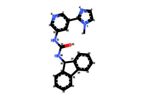 Cn1ccnc1-c1cncc(NC(=O)NC2c3ccccc3-c3ccccc32)c1